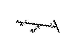 CCCCCC(CCCCC)CCOC(=O)CCCCCCCCC(CCCCCCCCC(=O)OCC(CCC(C)C)C(C)C)C(=O)OCCCN(C)C(C)C